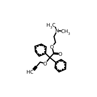 C#CCOC(C(=O)OCCN(C)C)(c1ccccc1)c1ccccc1